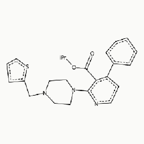 CC(C)OC(=O)c1c(-c2ccccc2)ccnc1N1CCN(Cc2cccs2)CC1